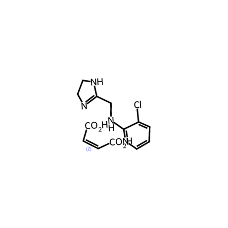 Clc1cccnc1NCC1=NCCN1.O=C(O)/C=C\C(=O)O